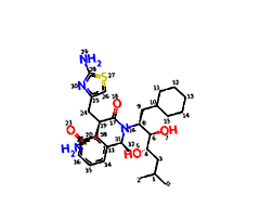 CC(C)C[C@H](O)[C@H](O)[C@H](CC1CCCCC1)N(C(=O)[C@@H](CC(N)=O)Cc1csc(N)n1)[C@@H](C)c1ccccc1